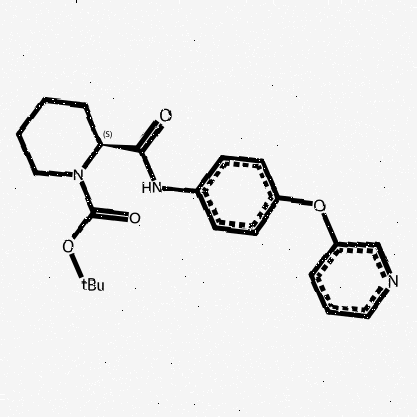 CC(C)(C)OC(=O)N1CCCC[C@H]1C(=O)Nc1ccc(Oc2cccnc2)cc1